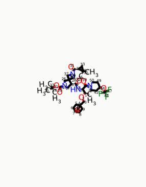 C[C@@H](OCC12CCC(CC1)OC2)[C@H](NC(=O)[C@@H]1CN(C(=O)OC(C)(C)C)CC12CN(C(=O)[C@H]1CC1(C)C)C2)C(=O)N1CCC(OC(F)(F)F)CC1